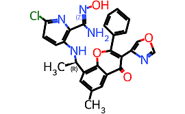 Cc1cc([C@@H](C)Nc2ccc(Cl)nc2/C(N)=N/O)c2oc(-c3ccccc3)c(-c3cocn3)c(=O)c2c1